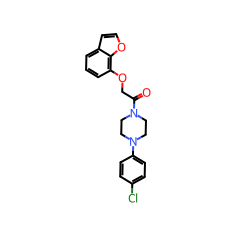 O=C(COc1cccc2ccoc12)N1CCN(c2ccc(Cl)cc2)CC1